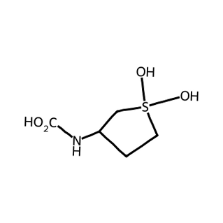 O=C(O)NC1CCS(O)(O)C1